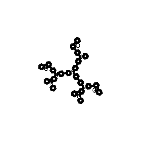 c1ccc(N(c2ccc(-c3ccc(N(c4ccc(-c5ccc(N(c6ccc(-c7cccc8c7oc7ccccc78)cc6)c6ccc7c(c6)c6ccccc6n7-c6ccccc6)cc5)cc4)c4ccc(-c5ccc(N(c6ccc(-c7cccc8c7oc7ccccc78)cc6)c6ccc7c(c6)c6ccccc6n7-c6ccccc6)cc5)cc4)cc3)cc2)c2ccc(-c3cccc4c3oc3ccccc34)cc2)cc1